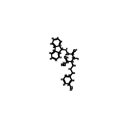 CN(C(=O)OCC1c2ccccc2-c2ccccc21)[C@@H](CCCc1cccc(Cl)c1)C(=O)O